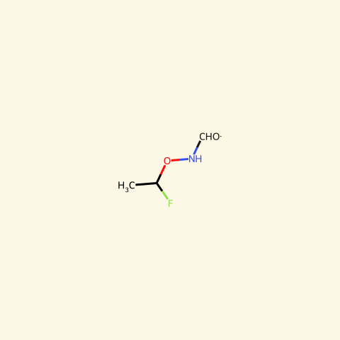 CC(F)ON[C]=O